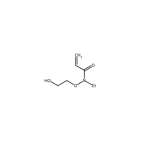 C=CC(=O)N(CC)OCCO